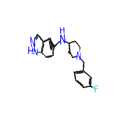 Fc1cccc(CN2CCC(Nc3ccc4[nH]ncc4c3)CC2)c1